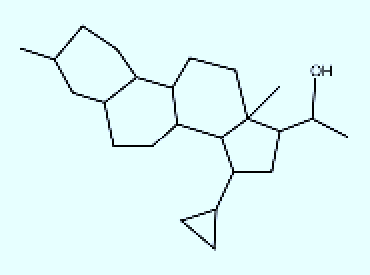 CC1CCC2C(CCC3C2CCC2(C)C(C(C)O)CC(C4CC4)C32)C1